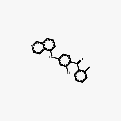 Cc1ccccc1C(=O)c1ccc(Nc2cccc3cnccc23)cc1Cl